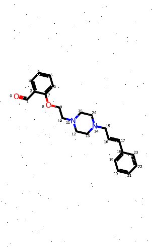 O=Cc1ccccc1OCCN1CCN(CC=Cc2ccccc2)CC1